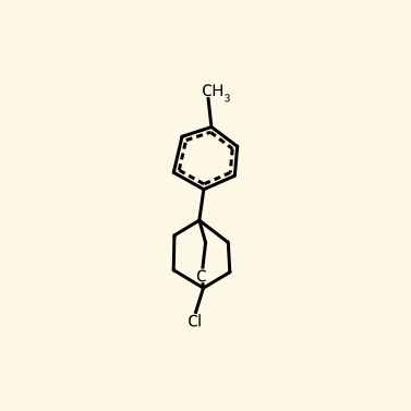 Cc1ccc(C23CCC(Cl)(CC2)CC3)cc1